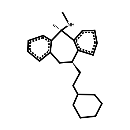 CN[C@]1(C)c2ccccc2C[C@H](CCC2CCCCC2)c2ccccc21